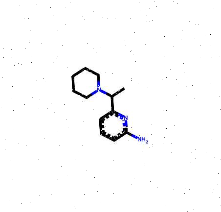 CC(c1cccc(N)n1)N1CCCCC1